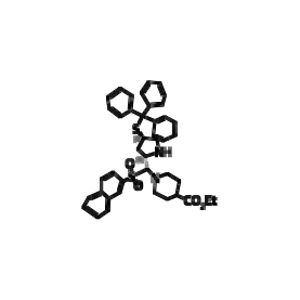 CCOC(=O)C1CCN(C([C@@H]2C[C@@H](SC(c3ccccc3)(c3ccccc3)c3ccccc3)CN2)S(=O)(=O)c2ccc3ccccc3c2)CC1